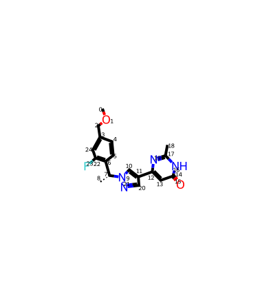 COCc1ccc([C@@H](C)n2cc(-c3cc(=O)[nH]c(C)n3)cn2)c(F)c1